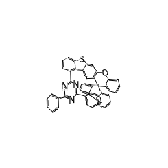 c1ccc(-c2nc(-c3ccccc3)nc(-c3cccc4sc5cc6c(cc5c34)C3(c4ccccc4O6)c4ccccc4-c4ccccc43)n2)cc1